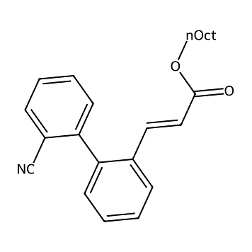 CCCCCCCCOC(=O)C=Cc1ccccc1-c1ccccc1C#N